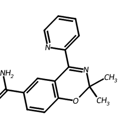 CC1(C)N=C(c2ccccn2)c2cc(C(N)=O)ccc2O1